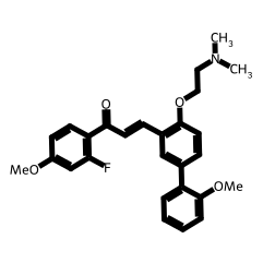 COc1ccc(C(=O)C=Cc2cc(-c3ccccc3OC)ccc2OCCN(C)C)c(F)c1